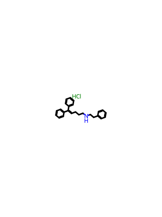 C(CCCNCCc1ccccc1)=C(c1ccccc1)c1ccccc1.Cl